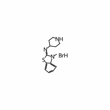 Br.Cn1c(=NC2CCNCC2)sc2ccccc21